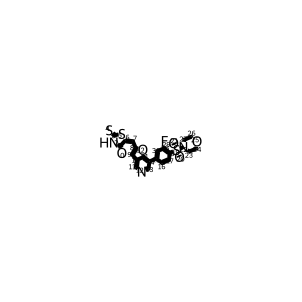 O=C1NC(=S)S/C1=C/c1cc2cncc(-c3ccc(S(=O)(=O)N4CCOCC4)c(F)c3)c2o1